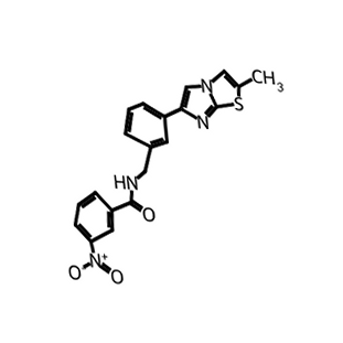 Cc1cn2cc(-c3cccc(CNC(=O)c4cccc([N+](=O)[O-])c4)c3)nc2s1